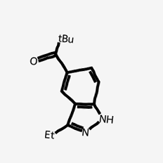 CCc1n[nH]c2ccc(C(=O)C(C)(C)C)cc12